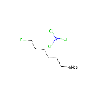 CCCCCCCCCCCCCl.ClN(Cl)Cl